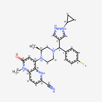 C[C@H]1CN(C(c2ccc(F)cc2)c2cnn(C3CC3)c2)CCN1c1cc(=O)n(C)c2ccc(C#N)nc12